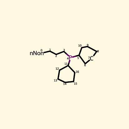 CCCCCCCCCCCCP(C1CCCCC1)C1CCCCC1